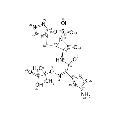 CC(C)(ON=C(C(=O)N[C@@H]1C(=O)N(S(=O)(=O)O)[C@H]1Cn1cnnc1)c1csc(N)n1)C(=O)O